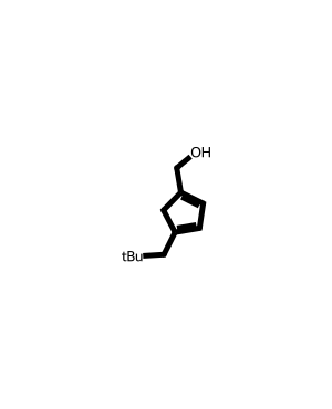 CC(C)(C)CC1=CC=C(CO)C1